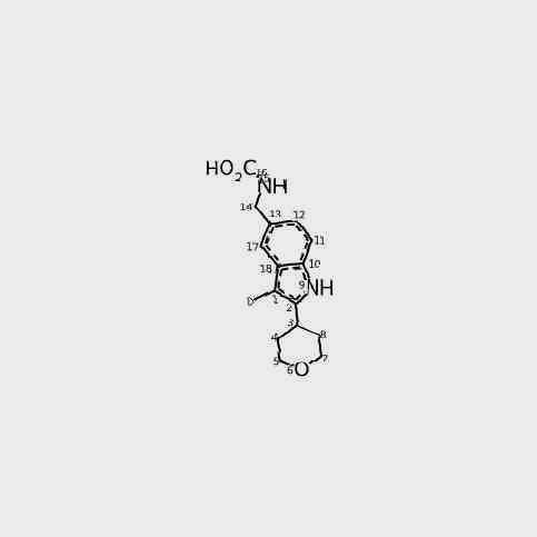 Cc1c(C2CCOCC2)[nH]c2ccc(CNC(=O)O)cc12